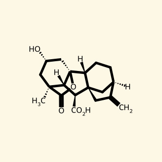 C=C1C[C@]23C[C@H]1CC[C@H]2[C@@]12C[C@@H](O)C[C@](C)(C(=O)O1)[C@H]2[C@@H]3C(=O)O